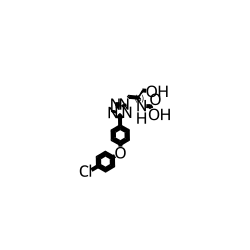 O=C(O)N[C@H](CO)Cn1nnc(-c2ccc(Oc3ccc(Cl)cc3)cc2)n1